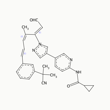 CC(=C/C=C/c1cccc(C(C)(C)C#N)c1)/C(=C\C=O)n1cc(-c2ccc(NC(=O)C3CC3)nc2)cn1